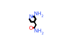 NC(=O)Cc1ccnc(N)c1